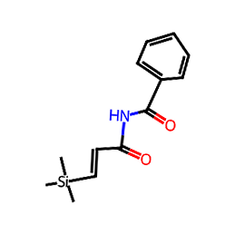 C[Si](C)(C)C=CC(=O)NC(=O)c1ccccc1